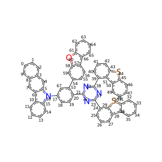 c1ccc2cc3c(cc2c1)c1ccccc1n3-c1ccc(-c2nc(-c3cccc4c3sc3ccccc34)nc(-c3cccc4sc5ccccc5c34)n2)c(-c2ccc3c(c2)oc2ccccc23)c1